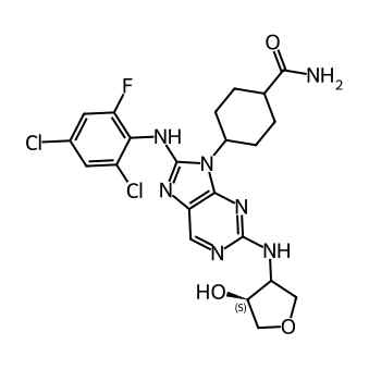 NC(=O)C1CCC(n2c(Nc3c(F)cc(Cl)cc3Cl)nc3cnc(NC4COC[C@H]4O)nc32)CC1